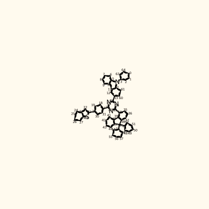 c1ccc(-n2c3ccccc3c3cc(-c4nc(-c5ccc(-c6cc7ccccc7s6)cc5)nc(-c5cccc6c5-c5ccccc5C6(c5ccccc5)c5ccccc5)n4)ccc32)cc1